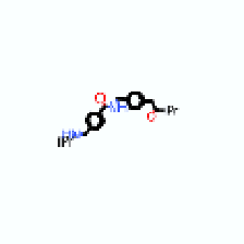 CC(C)NCc1ccc(C(=O)NCc2ccc(CC(=O)C(C)C)cc2)cc1